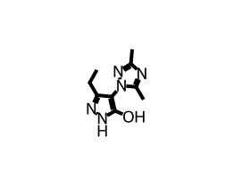 CCc1n[nH]c(O)c1-n1nc(C)nc1C